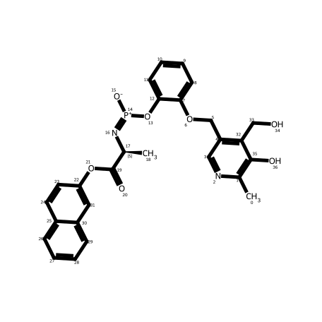 Cc1ncc(COc2ccccc2O[P+]([O-])=N[C@@H](C)C(=O)Oc2ccc3ccccc3c2)c(CO)c1O